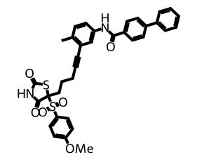 COc1ccc(S(=O)(=O)C2(CCCC#Cc3cc(NC(=O)c4ccc(-c5ccccc5)cc4)ccc3C)SC(=O)NC2=O)cc1